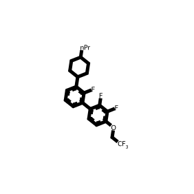 CCCC1CCC(c2cccc(-c3ccc(OCC(F)(F)F)c(F)c3F)c2F)CC1